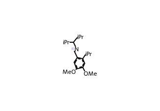 COc1cc(/C=N/C(C(C)C)C(C)C)c(C(C)C)cc1OC